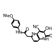 COc1ccc(NC(=O)Cc2ccc3[nH]c(=O)c(O)c(C#N)c3n2)cc1